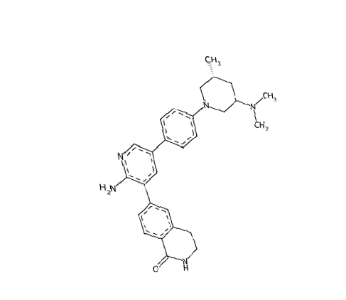 C[C@@H]1CC(N(C)C)CN(c2ccc(-c3cnc(N)c(-c4ccc5c(c4)CCNC5=O)c3)cc2)C1